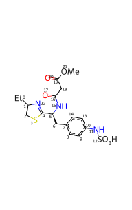 CCC1CSC([C@H](Cc2ccc(NS(=O)(=O)O)cc2)NC(=O)CC(=O)OC)=N1